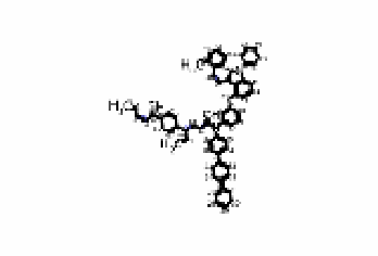 C=C/C=C\C(=C)c1ccc(/C(C=C)=C/C=C(\C)N(c2ccc(-c3ccc(-c4ccccc4)cc3)cc2)c2cccc(Cc3cccc4c3c(/C=C\c3ccccc3C)cn4-c3ccccc3)c2)cc1